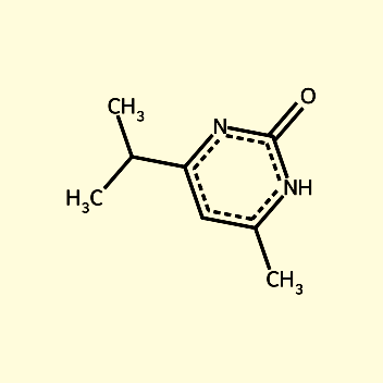 Cc1cc(C(C)C)nc(=O)[nH]1